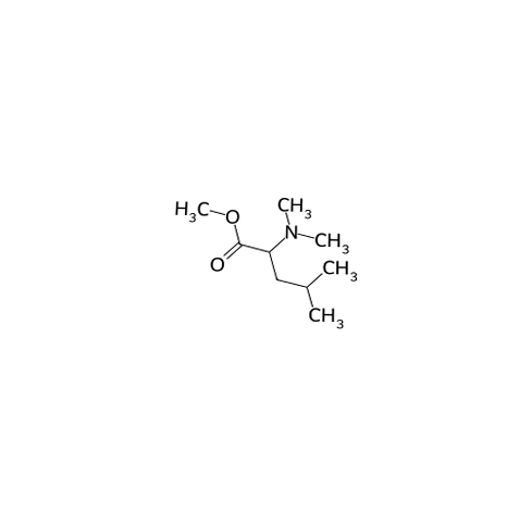 COC(=O)C(CC(C)C)N(C)C